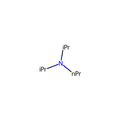 C[CH]CN(C(C)C)C(C)C